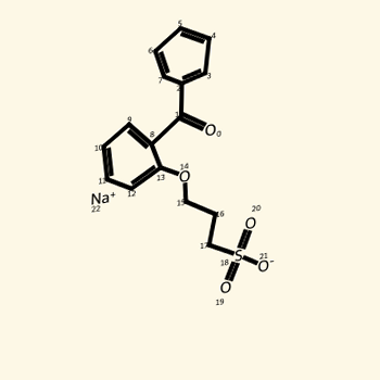 O=C(c1ccccc1)c1ccccc1OCCCS(=O)(=O)[O-].[Na+]